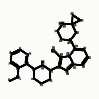 COc1cccnc1C1CCCC(c2nc3cccc(N4CCNC5(CC5)C4)n3c2Cl)N1